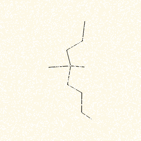 CC[CH]CC(C)(C)CCC